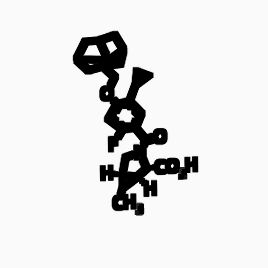 CC1[C@H]2[C@@H]1CN(C(=O)c1cc(C3CC3)c(OCC34CC5CC(CC(C5)C3)C4)cc1F)[C@@H]2C(=O)O